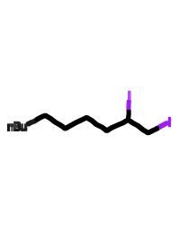 CCCCCCCCC(I)CI